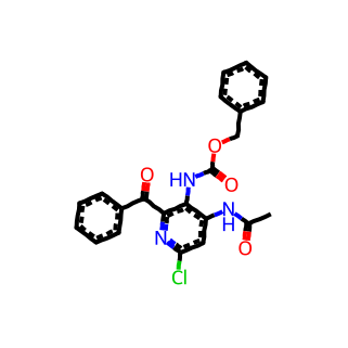 CC(=O)Nc1cc(Cl)nc(C(=O)c2ccccc2)c1NC(=O)OCc1ccccc1